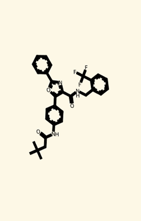 CC(C)(C)CC(=O)Nc1ccc(-c2oc(-c3ccccc3)nc2C(=O)NCc2ccccc2C(F)(F)F)cc1